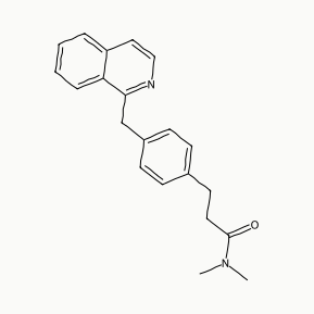 CN(C)C(=O)CCc1ccc(Cc2nccc3ccccc23)cc1